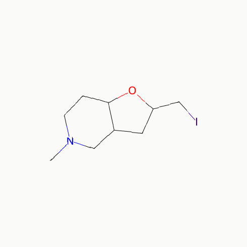 CN1CCC2OC(CI)CC2C1